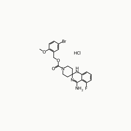 COc1ccc(Br)cc1COC(=O)N1CCC2(CC1)N=C(N)c1c(F)cccc1N2.Cl